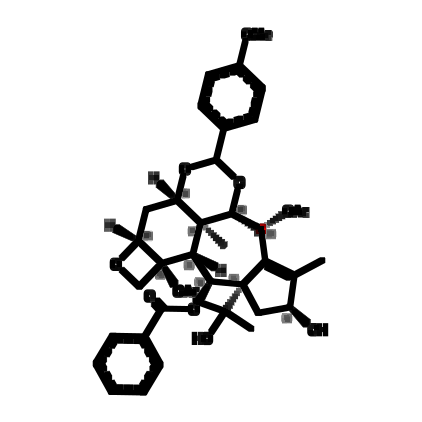 COc1ccc(C2O[C@H]3C[C@H]4OC[C@@]4(OC(C)=O)[C@H]4[C@H](OC(=O)c5ccccc5)[C@]5(C(C)(C)O)C[C@H](O)C(C)=C5[C@@H](OC(C)=O)[C@H](O2)[C@]34C)cc1